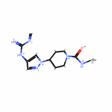 C=NC(=N)Nc1cnn(C2CCN(C(=O)NC(C)(C)C)CC2)c1